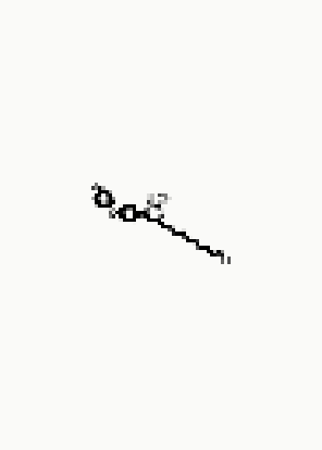 CCCCCCCCCCCCCC(NC(=O)O)c1ccc(Sc2ccc(O)cc2)cc1